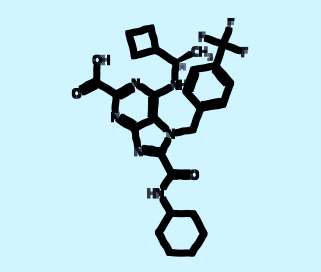 C[C@@H](Nc1nc(C(=O)O)nc2nc(C(=O)NC3CCCCC3)n(Cc3ccc(C(F)(F)F)cc3)c12)C1CCC1